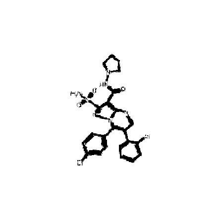 NS(=O)(=O)c1nn2c(-c3ccc(Cl)cc3)c(-c3ccccc3Cl)cnc2c1C(=O)NN1CCCC1